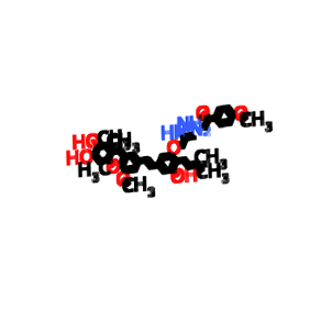 COc1ccc(C(=O)CN/C=C(/COc2cc(/C=C/c3cc4c(c(OC)c3)O[C@]3(C)C[C@@H](O)[C@@H](O)C(C)(C)[C@H]3C4)cc(O)c2CC=C(C)C)NN)cc1